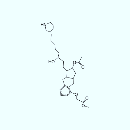 C1CCNC1.CCCCCC(O)CCC1C(OC(C)=O)CC2Cc3c(cccc3OCC(=O)OC)CC21